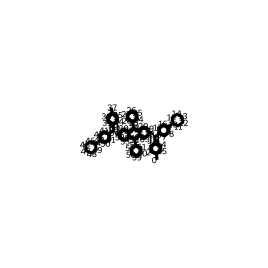 Cc1ccc(N(c2ccc(C3CCCCC3)cc2)c2ccc3c(-c4ccccc4)c4cc(N(c5ccc(C)cc5)c5ccc(C6CCCCC6)cc5)ccc4c(-c4ccccc4)c3c2)cc1